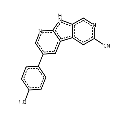 N#Cc1cc2c(cn1)[nH]c1ncc(-c3ccc(O)cc3)cc12